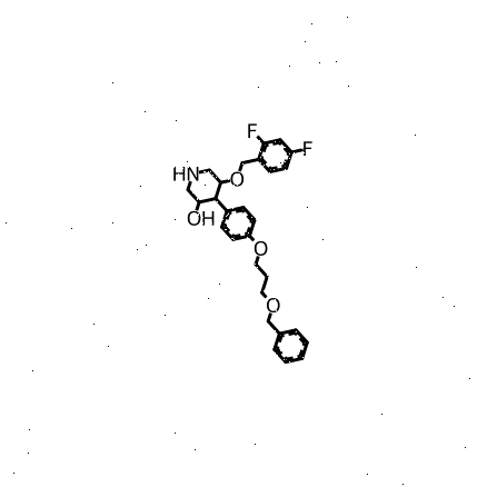 OC1CNCC(OCc2ccc(F)cc2F)C1c1ccc(OCCCOCc2ccccc2)cc1